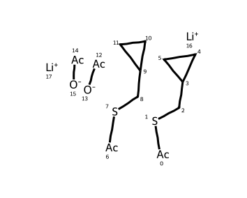 CC(=O)SCC1CC1.CC(=O)SCC1CC1.CC(=O)[O-].CC(=O)[O-].[Li+].[Li+]